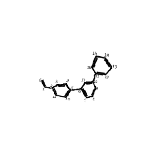 C=Cc1ccc(-c2cccc(-c3ccccc3)c2)cc1